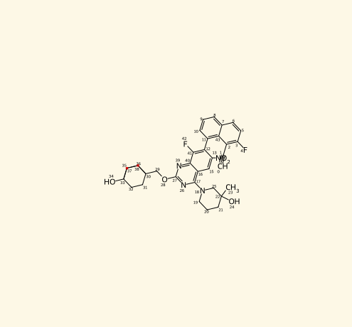 C#Cc1c(F)ccc2cccc(-c3c([N+](=O)[O-])cc4c(N5CCCC(C)(O)C5)nc(OCC56CCC(O)(CC5)CC6)nc4c3F)c12